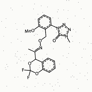 COc1cccc(-n2nnn(C)c2=O)c1CON=C(C)C1OC(F)(F)Oc2ccccc21